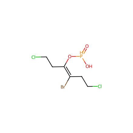 O=[PH](O)OC(CCCl)=C(Br)CCCl